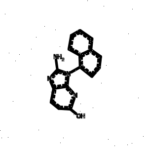 Nc1nc2ccc(O)nc2n1-c1cccc2ccccc12